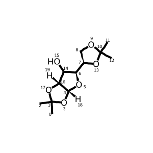 CC1(C)O[C@H]2O[C@H]([C@H]3COC(C)(C)O3)C(O)[C@H]2O1